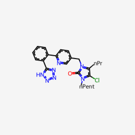 CCCCCn1c(Cl)c(CCC)n(Cc2ccc(-c3ccccc3-c3nnn[nH]3)nc2)c1=O